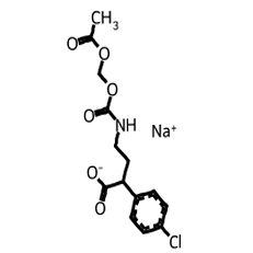 CC(=O)OCOC(=O)NCCC(C(=O)[O-])c1ccc(Cl)cc1.[Na+]